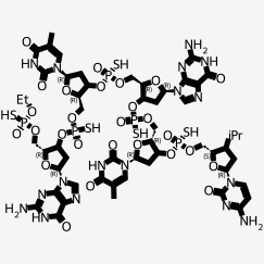 CCOP(=O)(S)OC[C@H]1O[C@@H](n2cnc3c(=O)[nH]c(N)nc32)CC1OP(=O)(S)OC[C@H]1O[C@@H](n2cc(C)c(=O)[nH]c2=O)CC1OP(=O)(S)OC[C@H]1O[C@@H](n2cnc3c(=O)[nH]c(N)nc32)CC1OP(=O)(S)OC[C@H]1O[C@@H](n2cc(C)c(=O)[nH]c2=O)CC1OP(=O)(S)OC[C@H]1O[C@@H](n2ccc(N)nc2=O)CC1C(C)C